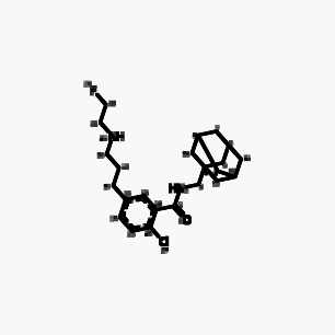 O=C(NCC12CC3CC(CC(C3)C1)C2)c1cc(CCCNCCF)ccc1Cl